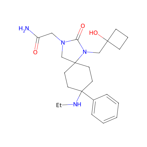 CCNC1(c2ccccc2)CCC2(CC1)CN(CC(N)=O)C(=O)N2CC1(O)CCC1